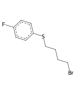 Fc1ccc(SCCCCBr)cc1